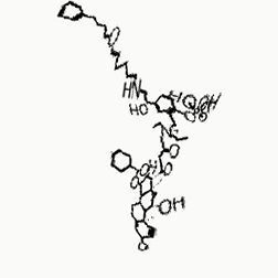 CC[N+](CC)(CC(=O)CC(=O)[C@H]1[C@H]2O[C@H](C3CCCCC3)OC2C2C3CCC4=CC(=O)C=C[C@]4(C)C3[C@@H](O)C[C@@]21C)Cc1cc(C(O)CNCCCCCCOCCCCc2ccccc2)ccc1OP(=O)(O)O.[Cl-]